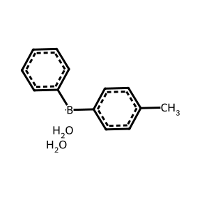 Cc1ccc([B]c2ccccc2)cc1.O.O